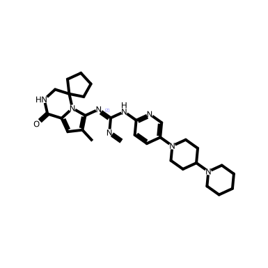 C=N/C(=N\c1c(C)cc2n1C1(CCCC1)CNC2=O)Nc1ccc(N2CCC(N3CCCCC3)CC2)cn1